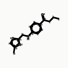 CCCC(=O)c1ccc(NCc2nc(C)cs2)cc1